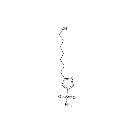 NS(=O)(=O)c1csc(CCCCCCCO)c1